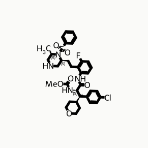 COC(=O)N[C@H](C(=O)Nc1cccc(F)c1CC[C@H]1CNC[C@@H](C)N1S(=O)(=O)c1ccccc1)[C@@H](c1ccc(Cl)cc1)C1CCOCC1